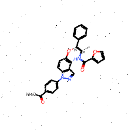 COC(=O)c1ccc(-n2ncc3cc(O[C@H](c4ccccc4)[C@H](C)NC(=O)c4ccco4)ccc32)cc1